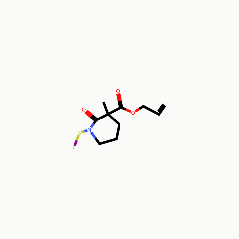 C=CCOC(=O)C1(C)CCCN(SI)C1=O